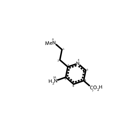 CNCCc1ncc(C(=O)O)cc1N